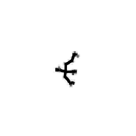 CCCCC(O)(O)CCN